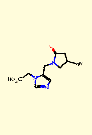 CCCC1CC(=O)N(Cc2cncn2CC(=O)O)C1